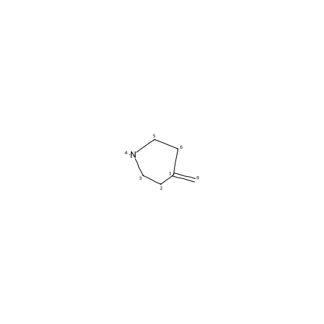 C=C1CC[N]CC1